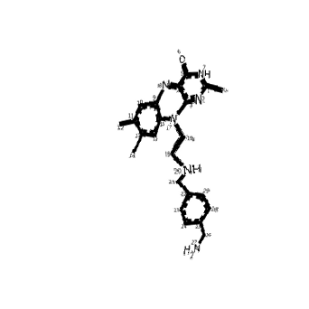 C=c1nc2c(c(=O)[nH]1)=Nc1cc(C)c(C)cc1N2CCNCc1ccc(CN)cc1